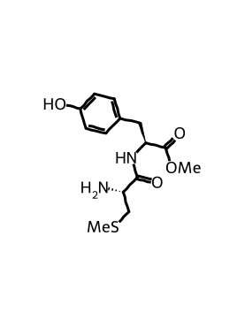 COC(=O)[C@H](Cc1ccc(O)cc1)NC(=O)[C@@H](N)CSC